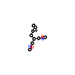 CC1(C)c2cc(-c3cccc(-c4cc(-c5ccc(-c6nc7ccccc7o6)cc5)cc(-c5ccc(-c6nc7ccccc7o6)cc5)c4)c3)ccc2-c2c1ccc1ccccc21